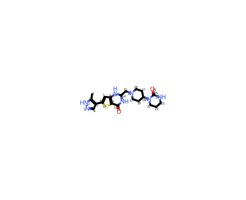 Cc1[nH]ncc1-c1cc2c(s1)C(=O)NC(CN1CCC(N3CCCNC3=O)CC1)N2